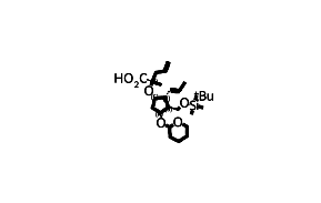 C=CC[C@@](C)(O[C@H]1C[C@@H](OC2CCCCO2)[C@H](CO[Si](C)(C)C(C)(C)C)[C@H]1C=CC)C(=O)O